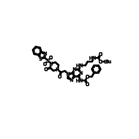 CC(C)(C)OC(=O)NCCCNc1nc(NC(=O)OCc2ccccc2)c2ncn(CC(=O)N3CCN(S(=O)(=O)c4nc5ccccc5s4)C(=O)C3)c2n1